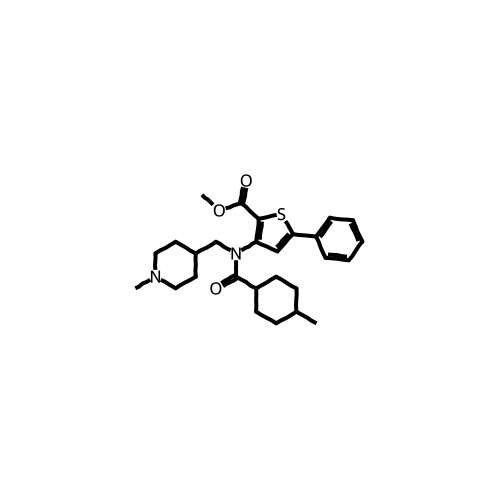 COC(=O)c1sc(-c2ccccc2)cc1N(CC1CCN(C)CC1)C(=O)C1CCC(C)CC1